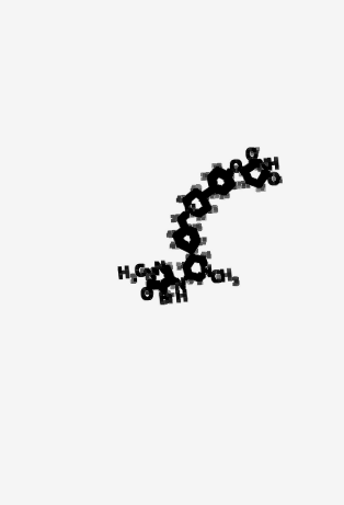 CN1C[C@H](Nc2cnn(C)c(=O)c2Br)C[C@H](c2ccc(CN3CCC(c4ccc(OC5CCC(=O)NC5=O)cc4)CC3)cc2)C1